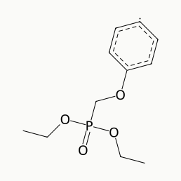 CCOP(=O)(COc1cc[c]cc1)OCC